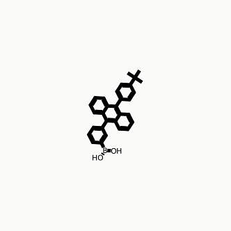 CC(C)(C)c1ccc(-c2c3ccccc3c(-c3cccc(B(O)O)c3)c3ccccc23)cc1